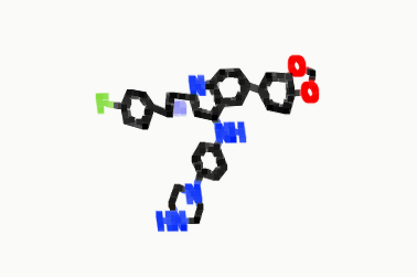 Fc1ccc(/C=C/c2cc(Nc3ccc(N4CCNCC4)cc3)c3cc(-c4ccc5c(c4)OCO5)ccc3n2)cc1